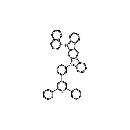 c1ccc(-c2cc(-c3cccc(-n4c5ccccc5c5cc6c7ccccc7n(-c7cccc8ccccc78)c6cc54)c3)cc(-c3ccccc3)n2)cc1